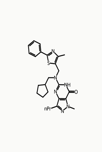 CCCc1nn(C)c2c(=O)[nH]c(N(Cc3sc(-c4ccccc4)nc3C)CC3CCCC3)nc12